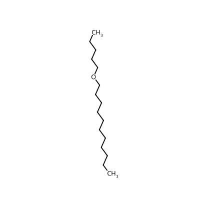 CCCCCCCCCCCOCCCCC